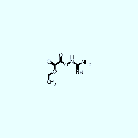 CCOC(=O)C(=O)ONC(=N)N